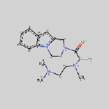 CCC(C(=O)N1CCn2c(cc3ccccc32)C1)N(C)CCN(C)C